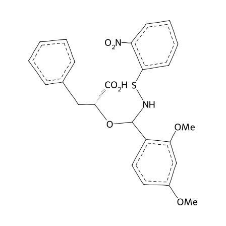 COc1ccc(C(NSc2ccccc2[N+](=O)[O-])O[C@H](Cc2ccccc2)C(=O)O)c(OC)c1